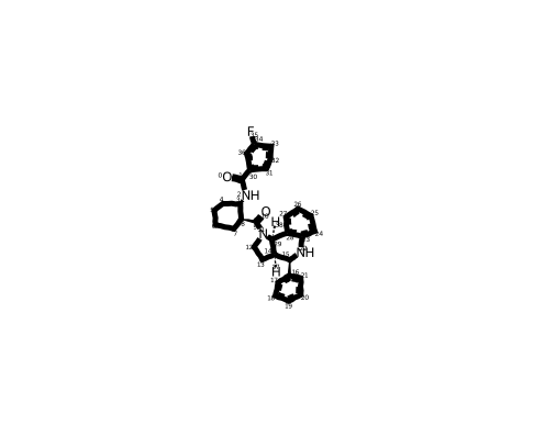 O=C(N[C@@H]1CCCC[C@@H]1C(=O)N1CC[C@@H]2[C@H](c3ccccc3)Nc3ccccc3[C@@H]21)c1cccc(F)c1